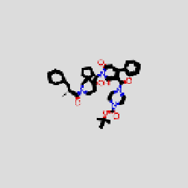 C[C@H](CC1CCCCC1)C(=O)N1CCC(O)(Cn2cc(C(=O)N3CCN(C(=O)OC(C)(C)C)CC3)c(-c3ccccc3)cc2=O)C2(CCCC2)C1